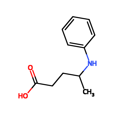 CC(CCC(=O)O)Nc1ccccc1